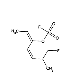 C/C=C(\C=C/C(C)CF)OS(=O)(=O)F